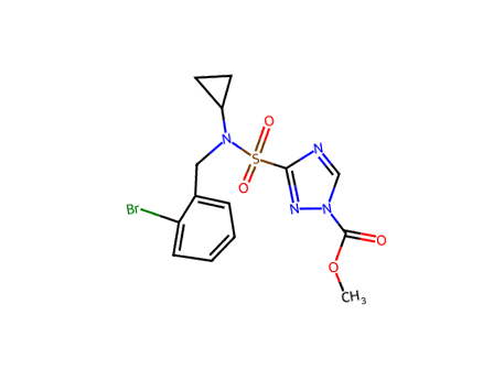 COC(=O)n1cnc(S(=O)(=O)N(Cc2ccccc2Br)C2CC2)n1